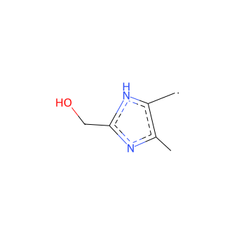 [CH2]c1[nH]c(CO)nc1C